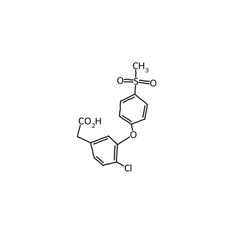 CS(=O)(=O)c1ccc(Oc2cc(CC(=O)O)ccc2Cl)cc1